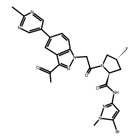 CC(=O)c1nn(CC(=O)N2C[C@H](F)C[C@H]2C(=O)Nc2cc(Br)n(C)n2)c2ccc(-c3cnc(C)nc3)cc12